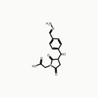 Cl.NN=Cc1ccc(CC2CC(=O)N(CC(=O)O)C2=O)cc1